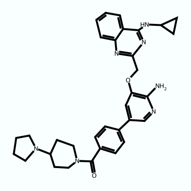 Nc1ncc(-c2ccc(C(=O)N3CCC(N4CCCC4)CC3)cc2)cc1OCc1nc(NC2CC2)c2ccccc2n1